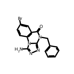 Nc1nnc2n(Cc3ccccc3)c(=O)c3cc(Br)ccc3n12